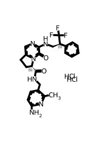 Cc1nc(N)ccc1CNC(=O)[C@@H]1CCc2cnc(NC[C@H](c3ccccc3)C(F)(F)F)c(=O)n21.Cl.Cl